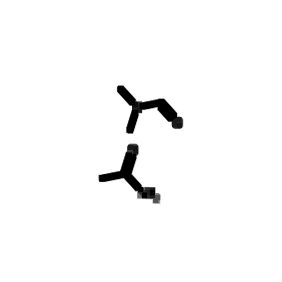 CC(N)=O.CN(C)C=O